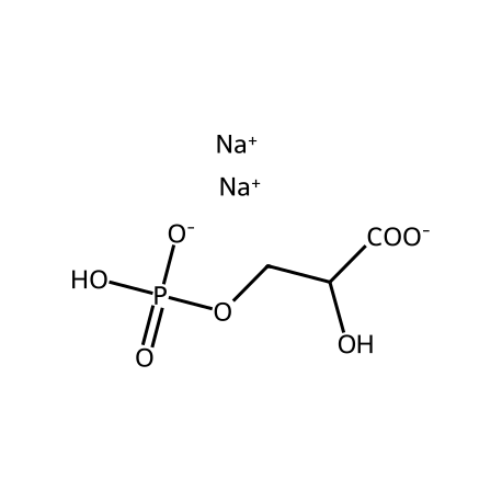 O=C([O-])C(O)COP(=O)([O-])O.[Na+].[Na+]